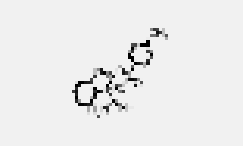 Cc1ccc(S(=O)(=O)O[N+]2(C(=N)N)N=Nc3ccccc32)cc1